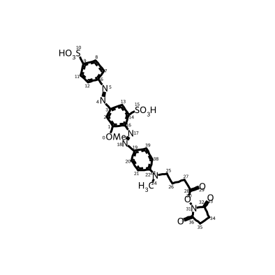 COc1cc(/N=N/c2ccc(S(=O)(=O)O)cc2)cc(S(=O)(=O)O)c1/N=N/c1ccc(N(C)CCCC(=O)ON2C(=O)CCC2=O)cc1